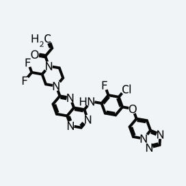 C=CC(=O)N1CCN(c2ccc3ncnc(Nc4ccc(Oc5ccn6ncnc6c5)c(Cl)c4F)c3n2)CC1C(F)F